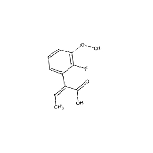 CC=C(C(=O)O)c1cccc(OC)c1F